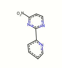 O=[N+]([O-])c1ccnc(-c2ccccn2)n1